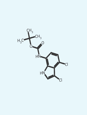 CC(C)(C)OC(=O)Nc1ccc(Cl)c2c(Cl)c[nH]c12